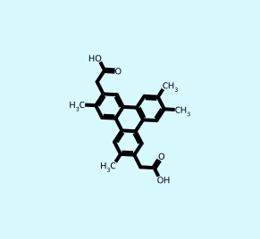 Cc1cc2c(cc1C)c1cc(CC(=O)O)c(C)cc1c1cc(C)c(CC(=O)O)cc21